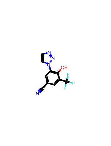 N#Cc1cc(-n2ccnn2)c(O)c(C(F)(F)F)c1